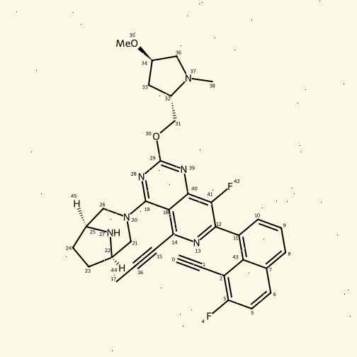 C#Cc1c(F)ccc2cccc(-c3nc(C#CC)c4c(N5C[C@H]6CC[C@@H](C5)N6)nc(OC[C@@H]5C[C@@H](OC)CN5C)nc4c3F)c12